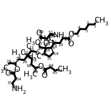 CCCCCCOC(=O)CC[C@@H](C)[C@H]1CC[C@@H](C)[C@]1(C)[C@H](C[C@@H](C)[C@@](C)(CC[C@H](CC)OC(=O)CCN)CC[C@H](C)OC(=O)CCC)OC(=O)CCN